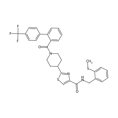 CSc1ccccc1CNC(=O)c1csc(C2CCN(C(=O)c3ccccc3-c3ccc(C(F)(F)F)cc3)CC2)n1